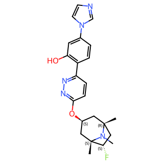 CN1[C@]2(C)C[C@H](Oc3ccc(-c4ccc(-n5ccnc5)cc4O)nn3)C[C@@]1(C)[C@@H](F)C2